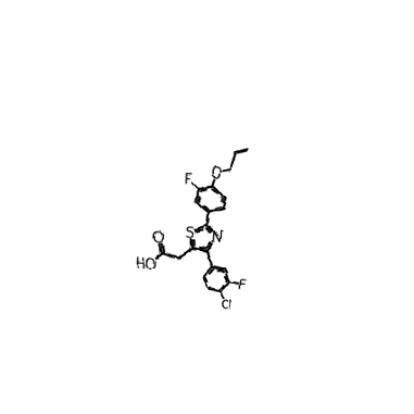 CCCOc1ccc(-c2nc(-c3ccc(Cl)c(F)c3)c(CC(=O)O)s2)cc1F